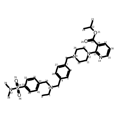 CCN(Cc1ccc(CN2CCN(c3ncccc3C(=O)OC(C)C)CC2)cc1)Cc1ccc(S(=O)(=O)N(C)C)cc1